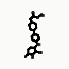 CC(C)(C)OC(=O)CN1CCC(c2ccc(NC3CCC(=O)NC3O)cc2)CC1